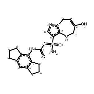 NS(=O)(=NC(=O)Nc1c2c(cc3c1CCC3)CCC2)c1cnn2c1OCC(O)=CC2